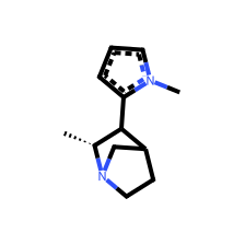 C[C@@H]1C(c2cccn2C)C2CCN1C2